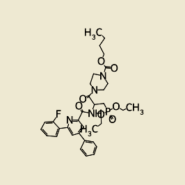 CCCCOC(=O)N1CCN(C(=O)C(CP(=O)(OCC)OCC)NC(=O)c2cc(-c3ccccc3)cc(-c3ccccc3F)n2)CC1